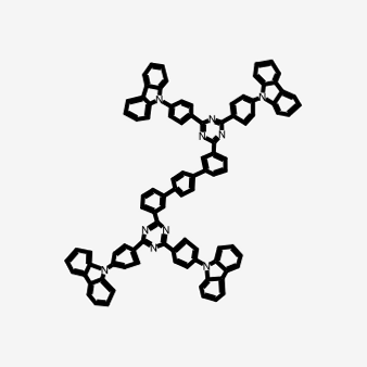 c1cc(-c2ccc(-c3cccc(-c4nc(-c5ccc(-n6c7ccccc7c7ccccc76)cc5)nc(-c5ccc(-n6c7ccccc7c7ccccc76)cc5)n4)c3)cc2)cc(-c2nc(-c3ccc(-n4c5ccccc5c5ccccc54)cc3)nc(-c3ccc(-n4c5ccccc5c5ccccc54)cc3)n2)c1